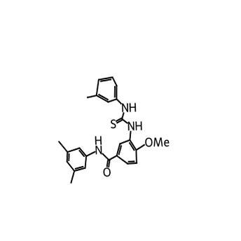 COc1ccc(C(=O)Nc2cc(C)cc(C)c2)cc1NC(=S)Nc1cccc(C)c1